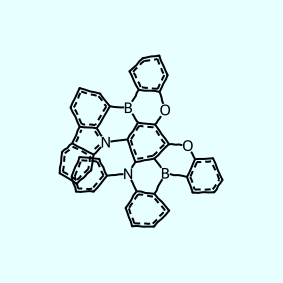 c1ccc(N2c3ccccc3B3c4ccccc4Oc4c5c6c(c2c43)-n2c3ccccc3c3cccc(c32)B6c2ccccc2O5)cc1